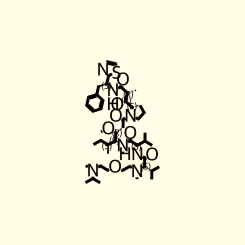 CC[C@H](C)[C@@H]([C@@H](CC(=O)N1CCC[C@H]1[C@H](OC)[C@@H](C)C(=O)N[C@@H](Cc1ccccc1)c1nccs1)OC)N(C)C(=O)[C@@H](NC(=O)[C@H](C(C)C)N(C)CCOCCN(C)C(C)C)C(C)C